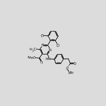 COC(=O)c1c(C)nc(-c2c(Cl)cccc2Cl)nc1Nc1ccc(CC(=O)OC(C)(C)C)cc1